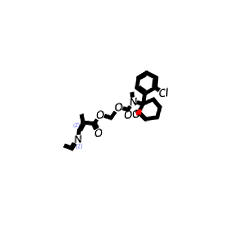 C/C=N\C=C(\C)C(=O)OCOC(=O)N(C)C1(c2ccccc2Cl)CCCCC1=O